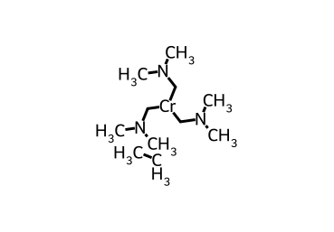 CC.CN(C)[CH2][Cr]([CH2]N(C)C)[CH2]N(C)C